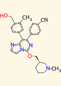 Cc1cc(-c2c(-c3ccc(C#N)cc3)nc(OC[C@@H]3CCCN(C)C3)n3ccnc23)ccc1CO